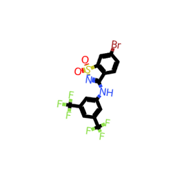 O=S1(=O)N=C(Nc2cc(C(F)(F)F)cc(C(F)(F)F)c2)c2ccc(Br)cc21